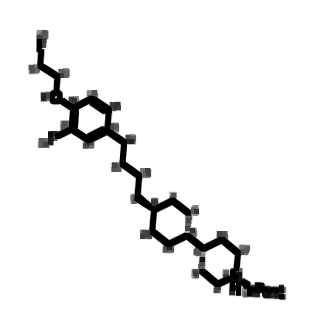 CCCCC[Si@H]1CC[C@H]([C@H]2CC[C@H](CCCCc3ccc(OCCF)c(F)c3)CC2)CC1